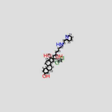 C[C@]12CCC3c4ccc(O)cc4CCC3C1C[C@@](CO)(CCCCCCNCCc1ccccn1)[C@@H]2O.[Cl][Pt][Cl]